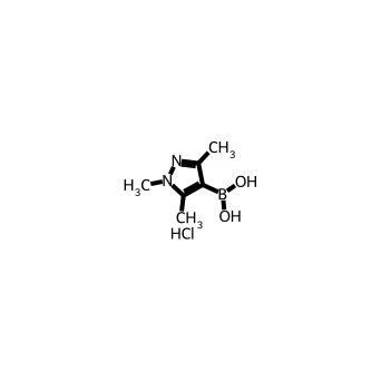 Cc1nn(C)c(C)c1B(O)O.Cl